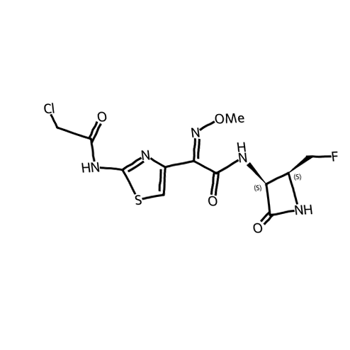 CON=C(C(=O)N[C@@H]1C(=O)N[C@@H]1CF)c1csc(NC(=O)CCl)n1